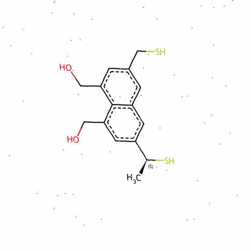 C[C@H](S)c1cc(CO)c2c(CO)cc(CS)cc2c1